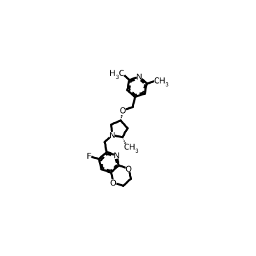 Cc1cc(CO[C@@H]2C[C@H](C)N(Cc3nc4c(cc3F)OCCO4)C2)cc(C)n1